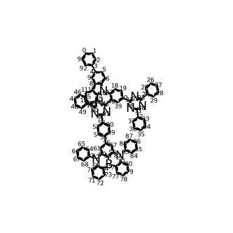 c1ccc(-c2ccc3c(c2)c2ccccc2n3-c2ccc(-c3nc(-c4ccccc4)nc(-c4ccccc4)n3)cc2-c2nc(-c3ccccc3)nc(-c3ccc(-c4cc5c6c(c4)N(c4ccccc4)c4ccccc4B6c4ccccc4N5c4ccccc4)cc3)n2)cc1